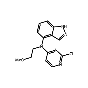 COCCN(c1ccnc(Cl)n1)c1cccc2[nH]ncc12